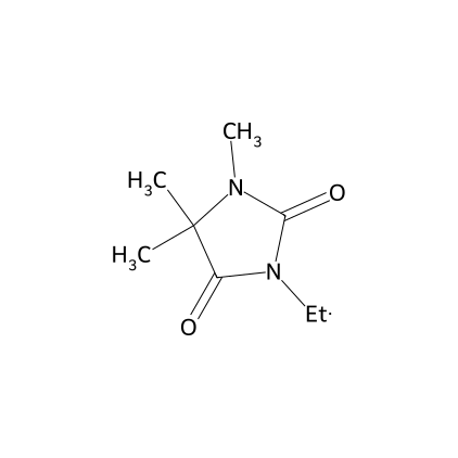 C[CH]N1C(=O)N(C)C(C)(C)C1=O